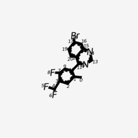 Cc1cc(C(F)F)c(F)cc1-c1ncnc2cc(Br)ccc12